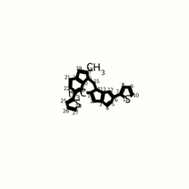 CC1=Cc2ccc(-c3cccs3)cc2C1CC1C(C)=Cc2ccc(-c3cccs3)cc21